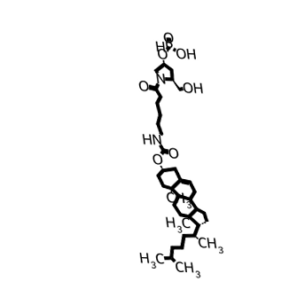 CC(C)CCC[C@@H](C)[C@H]1CCC2C3CC=C4C[C@@H](OC(=O)NCCCCCC(=O)N5C[C@H](O[PH](=O)O)C[C@H]5CO)CC[C@]4(C)C3CC[C@@]21C